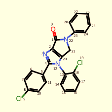 O=C1c2nc(-c3ccc(Cl)cc3)n(-c3ccccc3Cl)c2CN1c1ccccc1